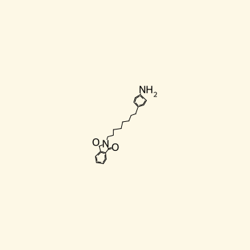 Nc1ccc(CCCCCCCCN2C(=O)c3ccccc3C2=O)cc1